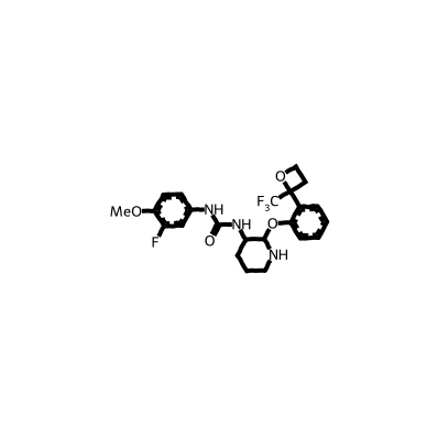 COc1ccc(NC(=O)NC2CCCNC2Oc2ccccc2C2(C(F)(F)F)CCO2)cc1F